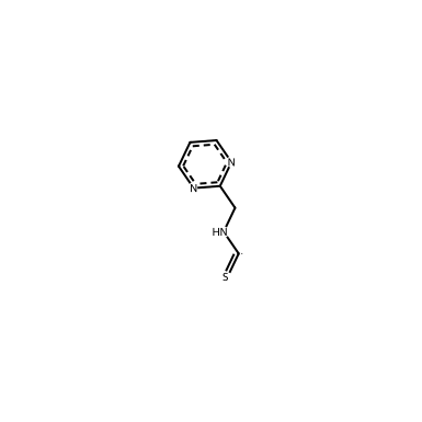 S=[C]NCc1ncccn1